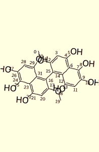 COc1cc(O)c2c(O)c(O)cc(O)c2c1-c1c(OC)cc(O)c2c(O)c(O)cc(O)c12